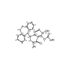 CCCC(=O)OC1=C2C(=O)N(C(C)C)CN(C3c4ccccc4CSc4ccccc43)N2C=CC1O